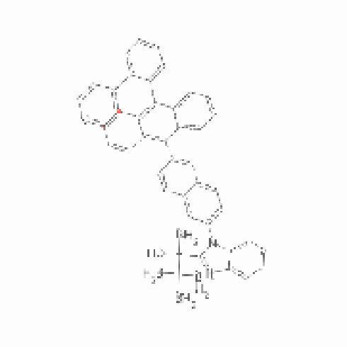 BC(B)(B)C(B)(O)c1nc2ccccc2n1-c1ccc2cc(-c3c4ccccc4c(-c4ccccc4-c4ccncc4)c4ccccc34)ccc2c1